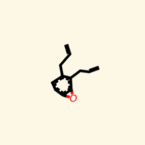 C=CCc1ccc2c(c1CC=C)O2